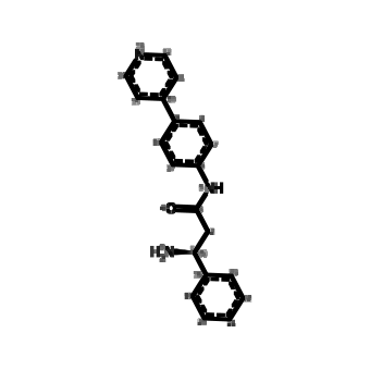 N[C@@H](CC(=O)Nc1ccc(-c2ccncc2)cc1)c1ccccc1